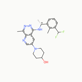 Cc1c(C(F)F)cccc1[C@@H](C)Nc1nnc(C)c2ncc(N3CCC(O)CC3)cc12